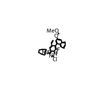 C=Cc1cc2c(N3CC4CCC(C3)N4C(=O)O)nc(Cl)nc2c(F)c1-c1cc(OCOC)cc2ccccc12